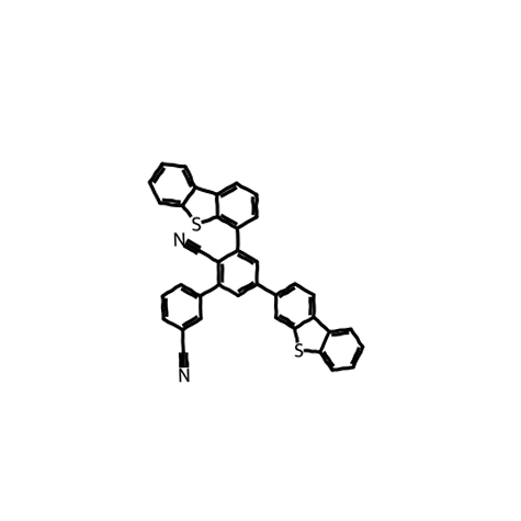 N#Cc1cccc(-c2cc(-c3ccc4c(c3)sc3ccccc34)cc(-c3cccc4c3sc3ccccc34)c2C#N)c1